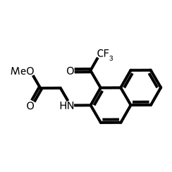 COC(=O)CNc1ccc2ccccc2c1C(=O)C(F)(F)F